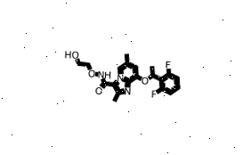 Cc1cc(OC(C)c2c(F)cccc2F)c2nc(C)c(C(=O)NOCCO)n2c1